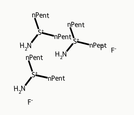 CCCCC[S+](N)CCCCC.CCCCC[S+](N)CCCCC.CCCCC[S+](N)CCCCC.[F-].[F-].[F-]